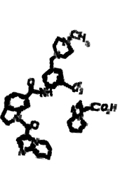 CN1CCN(Cc2cc(NC(=O)c3ccc4c(c3)N(C(=O)c3cnc5ccccn35)CC4)cc(C(F)(F)F)c2)CC1.O=C(O)c1cnc2ccccn12